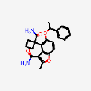 Cc1oc2ccc(OC(C)c3ccccc3)c(C3(C(N)=O)CCC3)c2c1C(N)=O